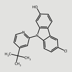 CC(C)(C)c1ccnc(-n2c3ccc(Cl)cc3c3ccc(O)cc32)c1